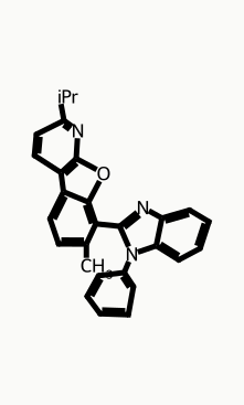 Cc1ccc2c(oc3nc(C(C)C)ccc32)c1-c1nc2ccccc2n1-c1ccccc1